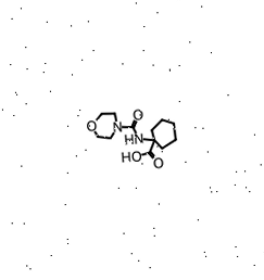 O=C(NC1(C(=O)O)CCCCC1)N1CCOCC1